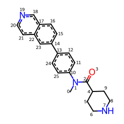 CN(C(=O)C1CCNCC1)c1ccc(-c2ccc3cnccc3c2)cc1